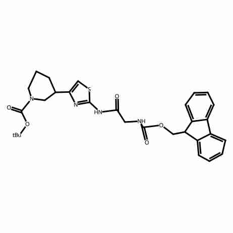 CC(C)(C)OC(=O)N1CCCC(c2csc(NC(=O)CNC(=O)OCC3c4ccccc4-c4ccccc43)n2)C1